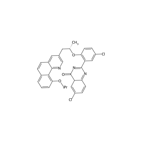 CC(C)Oc1cccc2ccc3cc(C[C@H](C)Oc4ccc(Cl)cc4C4=NC(=O)C5C=C(Cl)C=CC5=N4)cnc3c12